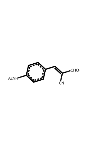 CC(=O)Nc1ccc(C=C([C]=O)C#N)cc1